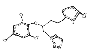 Clc1cc(Cl)c(OC(CCc2ccc(Cl)s2)Cn2ccnc2)c(Cl)c1